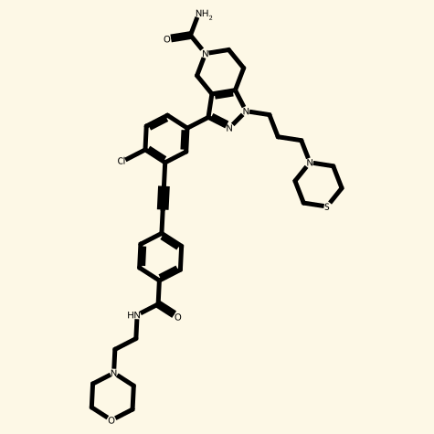 NC(=O)N1CCc2c(c(-c3ccc(Cl)c(C#Cc4ccc(C(=O)NCCN5CCOCC5)cc4)c3)nn2CCCN2CCSCC2)C1